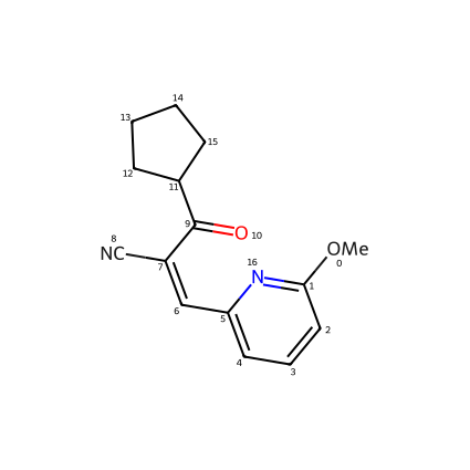 COc1cccc(C=C(C#N)C(=O)C2CCCC2)n1